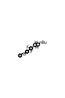 CCCCC1CC[C@@H]2C[C@H](c3cc(F)c(-c4ccc(OCc5ccccc5)cc4)c(F)c3)CC[C@@H]2C1